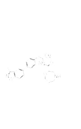 Cc1noc2ccc(-c3ccc(CC(C#N)NC(=O)[C@@H]4CNCCCO4)cc3)cc12